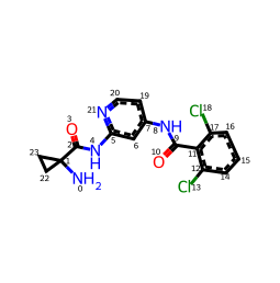 NC1(C(=O)Nc2cc(NC(=O)c3c(Cl)cccc3Cl)ccn2)CC1